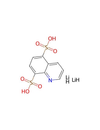 O=S(=O)(O)c1ccc(S(=O)(=O)O)c2ncccc12.[LiH].[LiH]